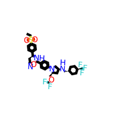 CCS(=O)(=O)c1ccc([C@H](CC#N)NC(=O)c2ccc(N3C[C@@H](NC[C@H]4CC[C@H](C(F)(F)F)CC4)C[C@H]3COC(F)F)cc2)cc1